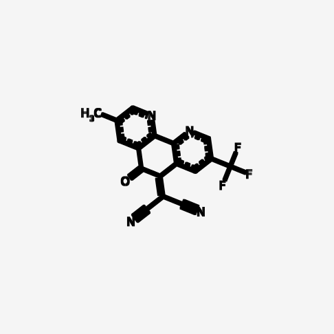 Cc1cnc2c(c1)C(=O)C(=C(C#N)C#N)c1cc(C(F)(F)F)cnc1-2